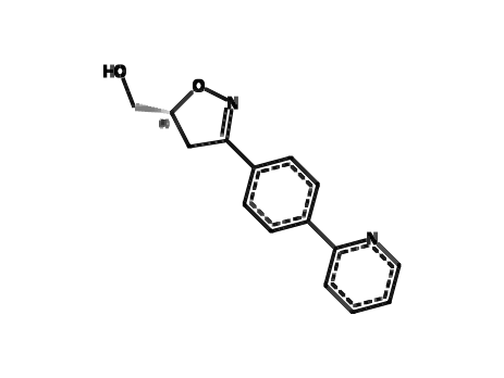 OC[C@H]1CC(c2ccc(-c3ccccn3)cc2)=NO1